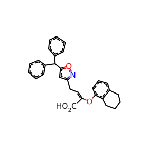 O=C(O)C(=CCc1cc(C(c2ccccc2)c2ccccc2)on1)Oc1cccc2c1CCCC2